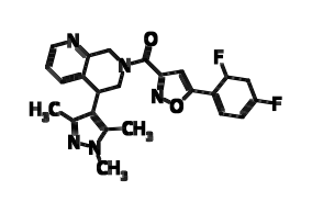 Cc1nn(C)c(C)c1C1CN(C(=O)c2cc(C3=CC=C(F)CC3F)on2)Cc2ncccc21